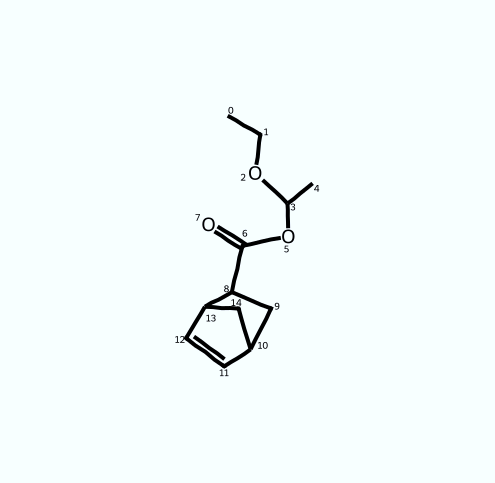 CCOC(C)OC(=O)C1CC2C=CC1C2